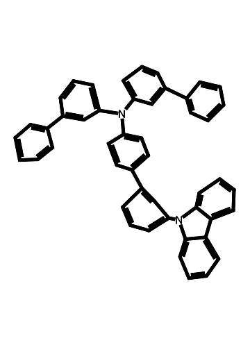 c1ccc(-c2cccc(N(c3ccc(-c4cccc(-n5c6ccccc6c6ccccc65)c4)cc3)c3cccc(-c4ccccc4)c3)c2)cc1